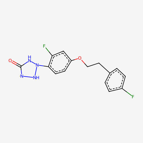 O=C1[N]NN(c2ccc(OCCc3ccc(F)cc3)cc2F)N1